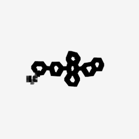 CN1CC=CC(C2=CC=C(c3c4c(c(C5=CC=C6C=CC=CC6C5)c5ccccc35)=CCCC=4)CC2)C1